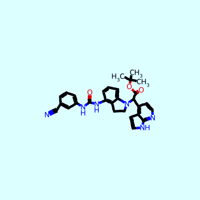 CC(C)(C)OC(=O)C(c1ccnc2[nH]ccc12)N1CCc2c(NC(=O)Nc3cccc(C#N)c3)cccc21